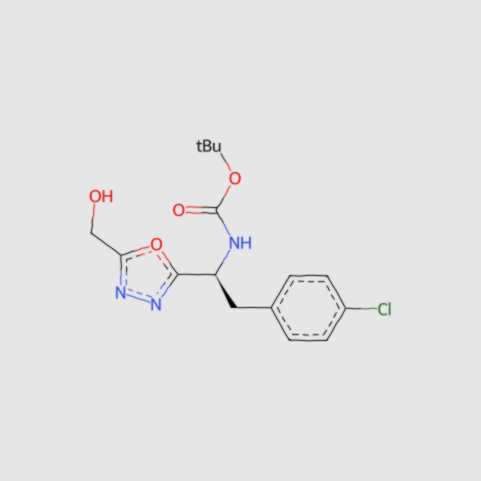 CC(C)(C)OC(=O)N[C@@H](Cc1ccc(Cl)cc1)c1nnc(CO)o1